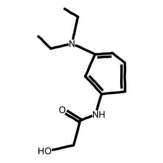 CCN(CC)c1cccc(NC(=O)CO)c1